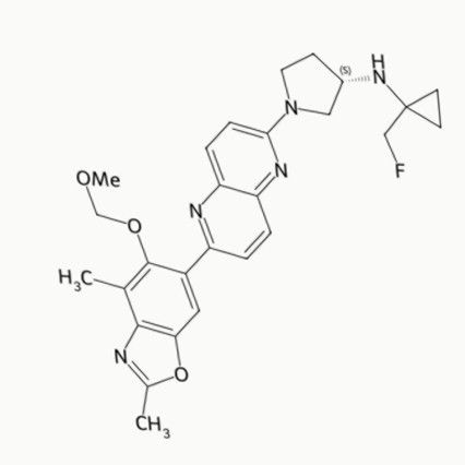 COCOc1c(-c2ccc3nc(N4CC[C@H](NC5(CF)CC5)C4)ccc3n2)cc2oc(C)nc2c1C